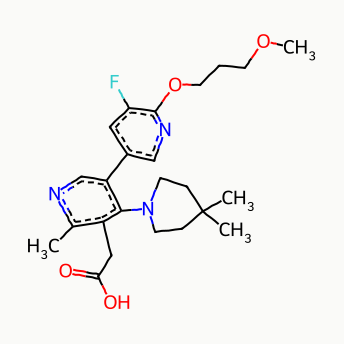 COCCCOc1ncc(-c2cnc(C)c(CC(=O)O)c2N2CCC(C)(C)CC2)cc1F